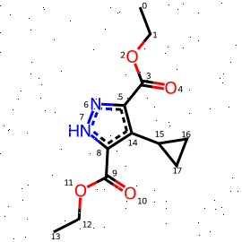 CCOC(=O)c1n[nH]c(C(=O)OCC)c1C1CC1